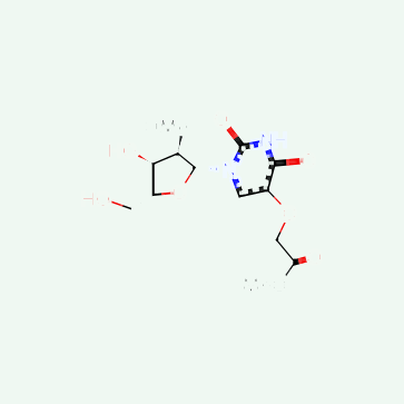 COC(=O)COc1cn([C@@H]2O[C@H](CO)[C@@H](O)[C@H]2OC)c(=O)[nH]c1=O